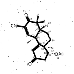 [C-]#[N+]C1=C[C@]2(C)C3=CC(=O)C[C@@H](OC(C)=O)[C@]3(C)CC[C@H]2C(C)(C)C1=O